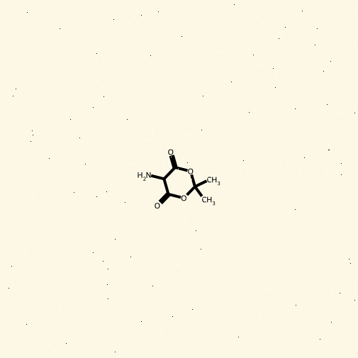 CC1(C)OC(=O)C(N)C(=O)O1